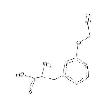 C#CCOc1cccc(CC(N)C(=O)O)c1